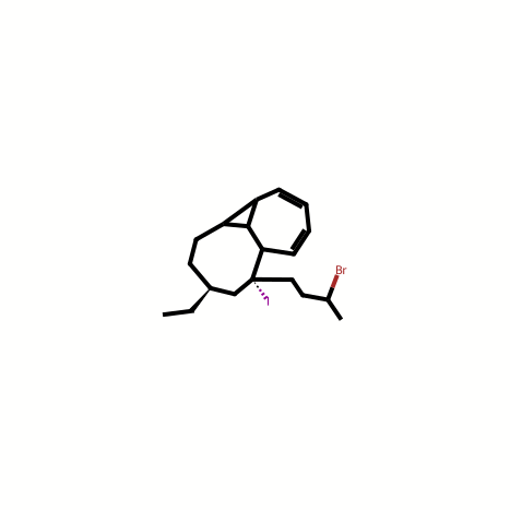 CC[C@H]1CCC2C3C=CC=CC(C32)[C@@](I)(CCC(C)Br)C1